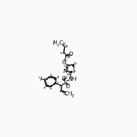 C=CC(c1ccc(I)cc1)S(=O)(=O)Nc1nc(OC(=O)CCC)cs1